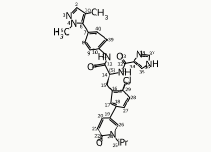 Cc1cnn(C)c1-c1ccc(NC(=O)[C@H](Cc2cc(-c3ccc(=O)n(C(C)C)c3)ccc2Cl)NC(=O)c2c[nH]cn2)cc1